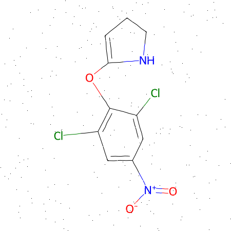 O=[N+]([O-])c1cc(Cl)c(OC2=CCCN2)c(Cl)c1